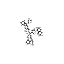 c1ccc(-c2c3ccccc3n3cc4ccc(N(c5ccc(-c6cccc7ccccc67)cc5)c5ccc(-c6cccc7ccccc67)cc5)cc4cc23)cc1